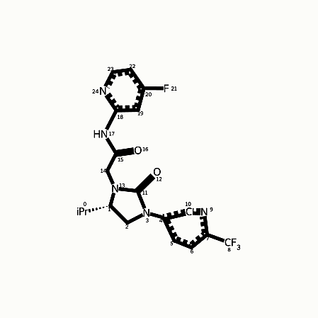 CC(C)[C@H]1CN(c2ccc(C(F)(F)F)nc2)C(=O)N1CC(=O)Nc1cc(F)ccn1